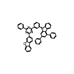 c1ccc(-c2cc(-c3ccccc3)c3c4ccccc4n(-c4cccc(-c5nc(-c6ccccc6)nc(-c6ccc7c(c6)oc6ccccc67)n5)c4)c3c2)cc1